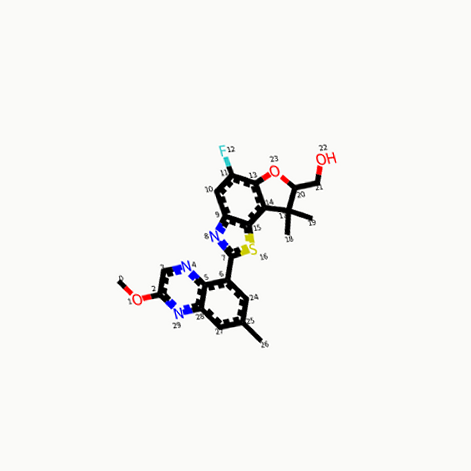 COc1cnc2c(-c3nc4cc(F)c5c(c4s3)C(C)(C)C(CO)O5)cc(C)cc2n1